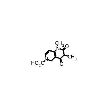 CC1C(=O)C2=C(C=CN(C(=O)O)C2)N(C)C1=O